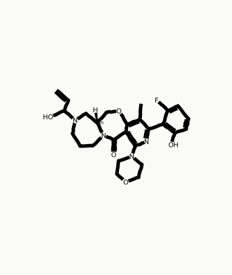 C=CC(O)N1CCCN2C(=O)c3c(N4CCOCC4)nc(-c4c(O)cccc4F)c(C)c3OC[C@H]2C1